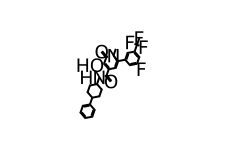 Cn1c(-c2cc(F)cc(C(F)(F)F)c2)cc(C(=O)NC2CCC(c3ccccc3)CC2)c(O)c1=O